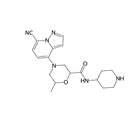 CC1CN(c2ccc(C#N)n3nccc23)CC(C(=O)NC2CCNCC2)O1